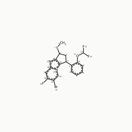 CSC1CC(c2ccccc2OC(F)F)c2c1nc1cc(F)c(Br)cn21